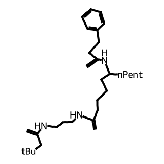 C=C(CCCCC(CCCCC)NC(=C)CCc1ccccc1)NCCCNC(=C)CC(C)(C)C